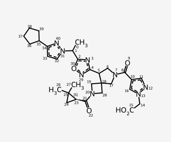 CC(c1nc(C2CN(C(=O)c3cnn(CC(=O)O)c3)CC23CN(C(=O)[C@H]2CC2(C)C)C3)no1)n1ccc(C2CCCC2)n1